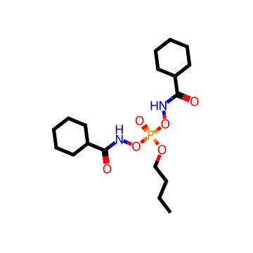 CCCCOP(=O)(ONC(=O)C1CCCCC1)ONC(=O)C1CCCCC1